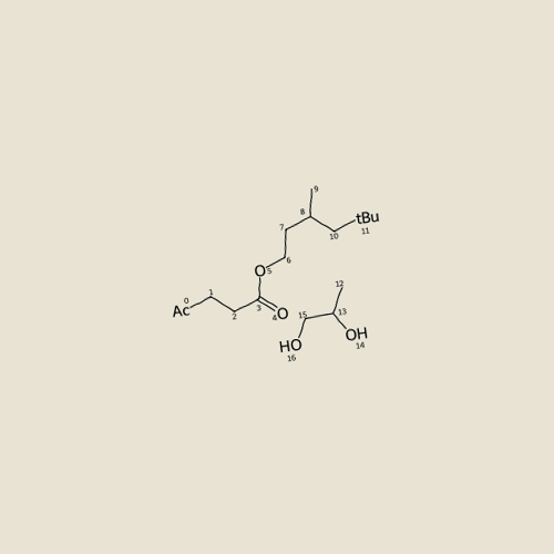 CC(=O)CCC(=O)OCCC(C)CC(C)(C)C.CC(O)CO